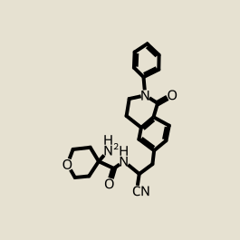 N#CC(Cc1ccc2c(c1)CCN(c1ccccc1)C2=O)NC(=O)C1(N)CCOCC1